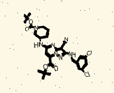 CC(C)(C)OC(=O)c1cc(N[C@H]2CCCN(C(=O)OC(C)(C)C)C2)nc2c(C#N)c(NCc3cc(Cl)cc(Cl)c3)nn12